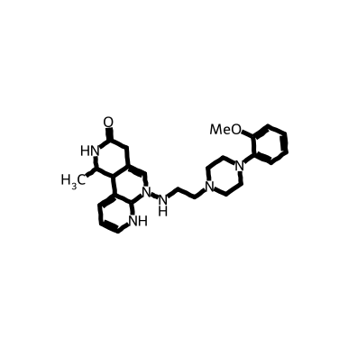 COc1ccccc1N1CCN(CCNN2C=C3CC(=O)NC(C)C3C3=CC=CNC32)CC1